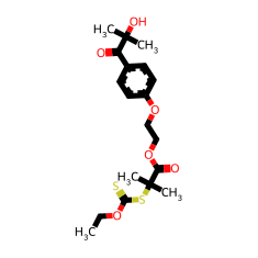 CCOC(=S)SC(C)(C)C(=O)OCCOc1ccc(C(=O)C(C)(C)O)cc1